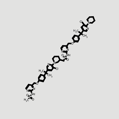 CC(C)(c1ccc(OCc2ccnc(NS(=O)(=O)CC3CCCN(c4ncc(C(C)(C)c5ccc(OCc6ccnc(NS(C)(=O)=O)n6)cc5)cc4Cl)C3)n2)cc1)c1cnc(N2CCCCC2)c(Cl)c1